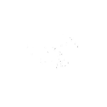 CCc1cccc2cc(O)cc(-c3c(F)cc4c(N5C[C@H]6CC[C@@H](C5)N6)nc(OC[C@@]56CCCN5C[C@H](F)C6)nc4c3F)c12